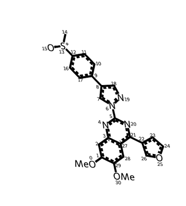 COc1cc2nc(-n3cc(-c4ccc([S+](C)[O-])cc4)cn3)nc(-c3ccoc3)c2cc1OC